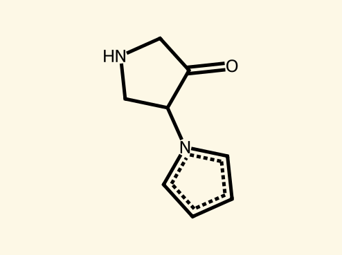 O=C1CNCC1n1cccc1